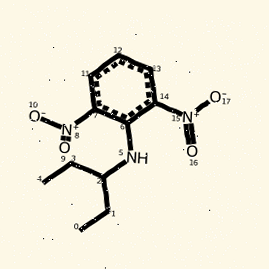 CCC(CC)Nc1c([N+](=O)[O-])cccc1[N+](=O)[O-]